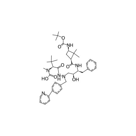 CN(C(=O)O)[C@H](C(=O)NN(Cc1ccc(-c2ccccn2)cc1)C[C@H](O)[C@H](Cc1ccccc1)NC(=O)[C@H]1C[C@@H](NC(=O)OC(C)(C)C)C1(C)C)C(C)(C)C